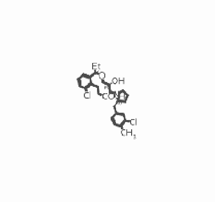 CC[C@@H](OC[C@H](O)CN1CCC[C@H]1Cc1ccc(C)c(Cl)c1)c1cccc(Cl)c1CCC(=O)O